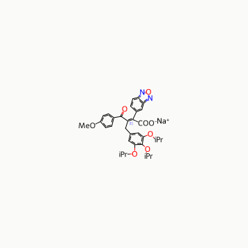 COc1ccc(C(=O)/C(Cc2cc(OC(C)C)c(OC(C)C)c(OC(C)C)c2)=C(/C(=O)[O-])c2ccc3nonc3c2)cc1.[Na+]